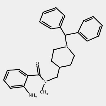 CN(CC1CCN(C(c2ccccc2)c2ccccc2)CC1)C(=O)c1ccccc1N